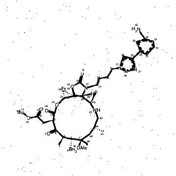 B[C@@H]1[C@@H](C)C(=O)[C@@H](CC(=O)OC(C)(C)C)C(=O)O[C@H](CC)[C@@]2(C)OC(=O)N(CCCCn3cc(-c4cccc(N)c4)nn3)[C@@H]2[C@@H](C)NC[C@H](C)C[C@@]1(C)OC